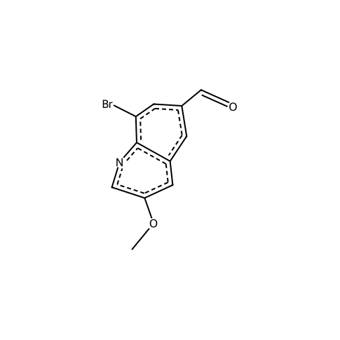 COc1cnc2c(Br)cc(C=O)cc2c1